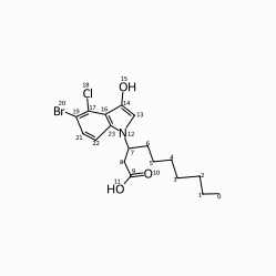 CCCCCCCC(CC(=O)O)n1cc(O)c2c(Cl)c(Br)ccc21